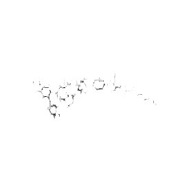 COCCOCCOC(=O)Nc1ccc(-c2[nH]c([C@@H]3CCC4=NC(c5cc(Cl)ccc5-n5cnnn5)=CC(O)N43)nc2Cl)cn1